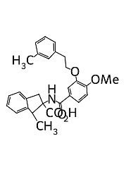 COc1ccc(C(=O)NC2(C(=O)O)Cc3ccccc3C2C)cc1OCCc1cccc(C)c1